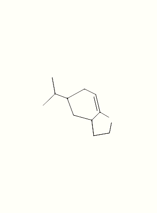 CC(C)C1CC=C2OCCC2C1